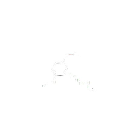 COc1ccc(S)cc1.F.F.F.F.F.F.[As]